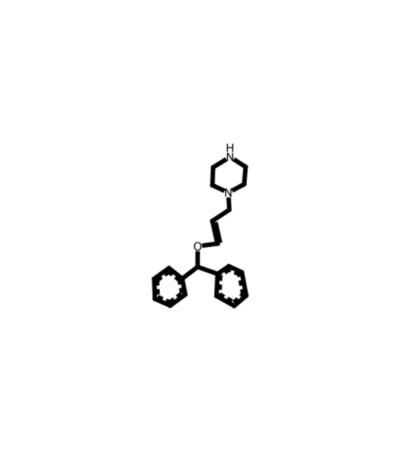 C(=COC(c1ccccc1)c1ccccc1)CN1CCNCC1